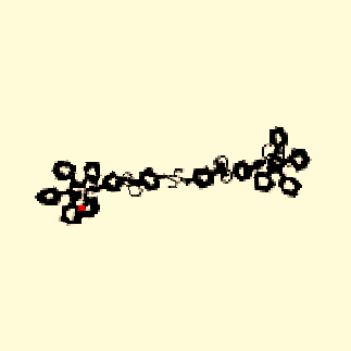 C[Si]1(C#Cc2ccc(OC(=O)c3ccc(CSSCc4ccc(C(=O)Oc5ccc(C#C[Si]6(c7ccccc7)C(c7ccccc7)=C(c7ccccc7)C(c7ccccc7)=C6c6ccccc6)cc5)cc4)cc3)cc2)C(c2ccccc2)=C(c2ccccc2)C(c2ccccc2)=C1c1ccccc1